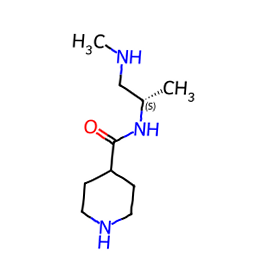 CNC[C@H](C)NC(=O)C1CCNCC1